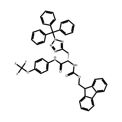 O=C(N[C@@H](Cc1nnn(C(c2ccccc2)(c2ccccc2)c2ccccc2)n1)C(=O)Nc1ccc(OC(F)(F)F)cc1)OCC1c2ccccc2-c2ccccc21